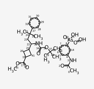 CC(=O)Nc1cccc([As](=O)(O)OO)c1.COC(=O)C1CC(C(CC(C)(C)c2ccccc2)NC(=O)OC(C)(C)C)C1